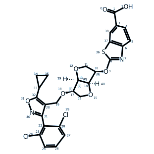 O=C(O)c1ccc2nc(O[C@@H]3CO[C@H]4[C@@H]3OC[C@H]4OCc3c(-c4c(Cl)cccc4Cl)noc3C3CC3)sc2c1